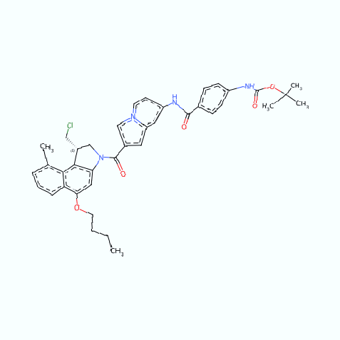 CCCCOc1cc2c(c3c(C)cccc13)[C@H](CCl)CN2C(=O)c1cc2cc(NC(=O)c3ccc(NC(=O)OC(C)(C)C)cc3)ccn2c1